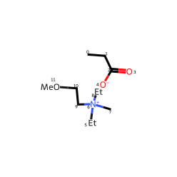 CCC(=O)[O-].CC[N+](C)(CC)CCOC